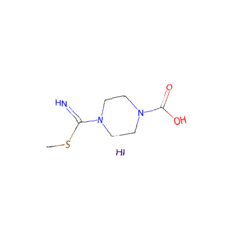 CSC(=N)N1CCN(C(=O)O)CC1.I